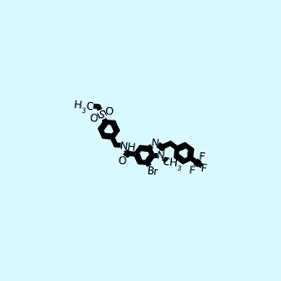 CCS(=O)(=O)c1ccc(CNC(=O)c2cc(Br)c3c(c2)nc(Cc2ccc(C(F)(F)F)cc2)n3C)cc1